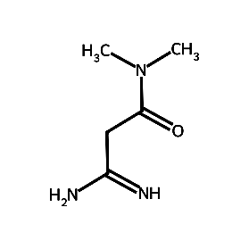 CN(C)C(=O)CC(=N)N